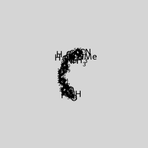 COc1cc(OC2C(C)(C)C(NC(=O)c3ccc(N4CCC(CN5CCC(n6ccc7c(N8CCC(=O)NC8=O)c(F)ccc76)CC5)CC4)c(F)c3)C2(C)C)ccc1C#N